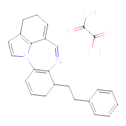 C1=CC2=C(N=CC3=CCCc4ccn2c43)C(CCc2ccccc2)C1.O=C(O)C(=O)O